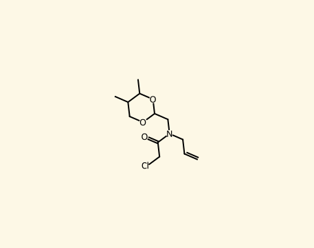 C=CCN(CC1OCC(C)C(C)O1)C(=O)CCl